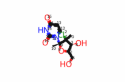 CC1(Cl)[C@H](O)C(CO)O[C@]1(C)n1ccc(=O)[nH]c1=O